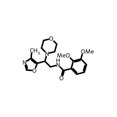 COc1cccc(C(=O)NCC(c2ocnc2C)N2CCOCC2)c1OC